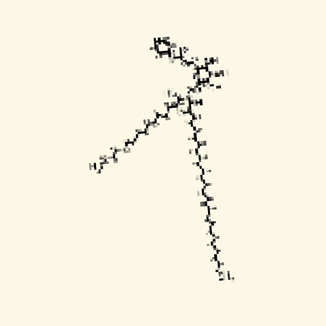 CCCCCCCCCCCCCCCCCCCCCCCCCCN[C@@H](CO[C@H]1O[C@H](COC(=O)Nc2ccncc2)[C@H](O)[C@H](O)[C@H]1O)[C@H](O)[C@H](O)CCCCCCCCCCCCCC